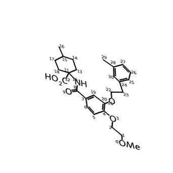 COCCOc1ccc(C(=O)NC2(C(=O)O)CCC(C)CC2)cc1OCCc1cccc(C)c1